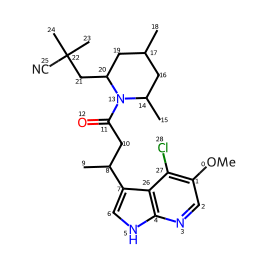 COc1cnc2[nH]cc(C(C)CC(=O)N3C(C)CC(C)CC3CC(C)(C)C#N)c2c1Cl